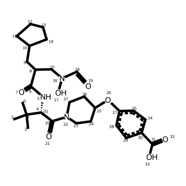 CC(C)(C)[C@H](NC(=O)C(CC1CCCC1)CN(O)C=O)C(=O)N1CCC(Oc2ccc(C(=O)O)cc2)CC1